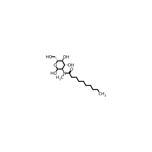 CCCCCCCCCC(=O)N(C)[C@H]1C(O)O[C@H](CO)[C@@H](O)[C@@H]1O